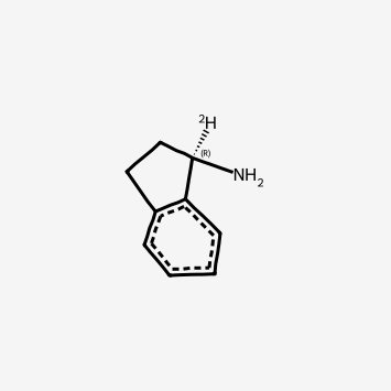 [2H][C@@]1(N)CCc2ccccc21